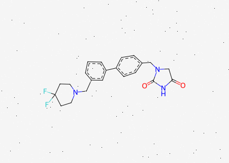 O=C1CN(Cc2ccc(-c3cccc(CN4CCC(F)(F)CC4)c3)cc2)C(=O)N1